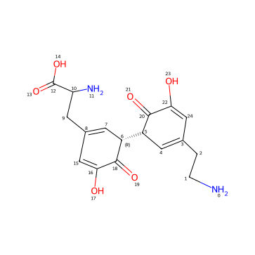 NCCC1=CC([C@H]2C=C(CC(N)C(=O)O)C=C(O)C2=O)C(=O)C(O)=C1